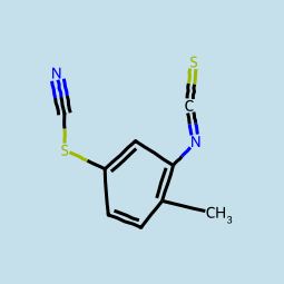 Cc1ccc(SC#N)cc1N=C=S